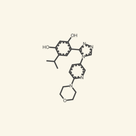 CC(C)c1cc(-c2nncn2-c2ccc(N3CCOCC3)nc2)c(O)cc1O